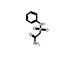 NC(=O)CS(=O)(=O)Nc1ccccc1